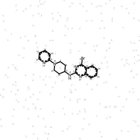 Brc1nc(NC2CCN(c3ccccn3)CC2)nc2ccccc12